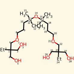 CCC(CO)(CO)COCCC[Si](C)(C)O[Si](C)(C)CCCOCC(CC)(CO)CO